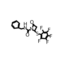 O=C1CC(Sc2c(F)c(F)c(F)c(F)c2F)N1C(=O)NCc1ccccc1